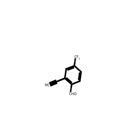 C#Cc1cc(C(F)(F)F)ccc1C=O